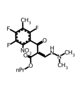 CCCOC(=O)/C(=C/NN(C)C)C(=O)c1c(F)c(C)c(F)c(F)c1[N+](=O)[O-]